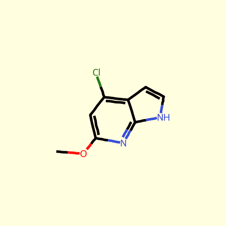 COc1cc(Cl)c2cc[nH]c2n1